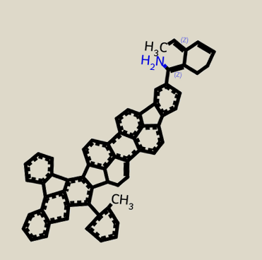 C/C=C1/C=CCC/C1=C(/N)c1ccc2c(c1)-c1ccc3c4ccc5c6c4c(c4ccc-2c1c43)=CCC6c1c-5c2c3c(c4ccccc4cc3c1-c1ccccc1C)-c1ccccc1-2